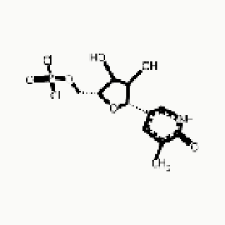 Cc1cc([C@@H]2O[C@H](COP(=O)(Cl)Cl)C(O)C2O)c[nH]c1=O